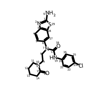 Nc1nc2ccc(N(CCN3CCCCC3=O)C(=O)Nc3ccc(Cl)cc3)cc2s1